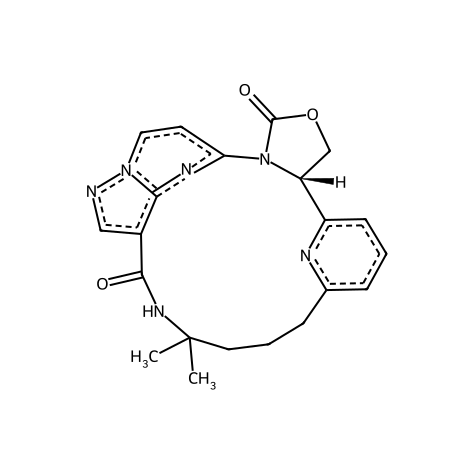 CC1(C)CCCc2cccc(n2)[C@H]2COC(=O)N2c2ccn3ncc(c3n2)C(=O)N1